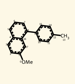 COc1ccc2cccc(-c3ccc(C)cc3)c2c1